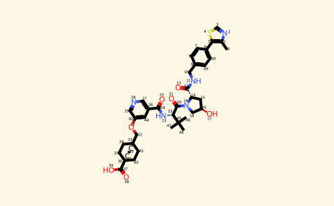 Cc1ncsc1-c1ccc(CNC(=O)[C@@H]2C[C@@H](O)CN2C(=O)[C@@H](NC(=O)c2cncc(OCC34CCC(C(=O)O)(CC3)CC4)c2)C(C)(C)C)cc1